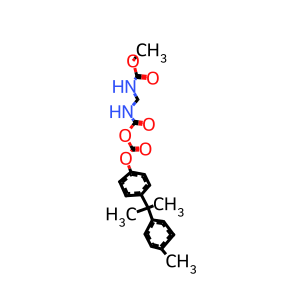 COC(=O)NCNC(=O)OC(=O)Oc1ccc(C(C)(C)c2ccc(C)cc2)cc1